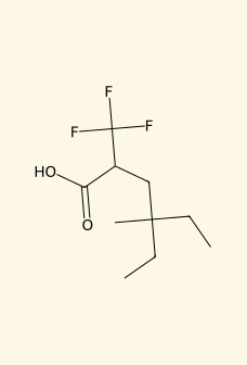 CCC(C)(CC)CC(C(=O)O)C(F)(F)F